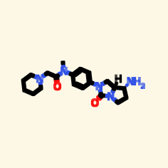 CN(C(=O)CN1CCCCC1)c1ccc(N2C[C@@H]3[C@H](N)CCN3C2=O)cc1